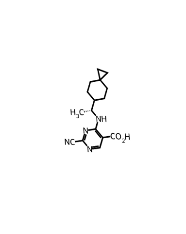 C[C@@H](Nc1nc(C#N)ncc1C(=O)O)C1CCC2(CC1)CC2